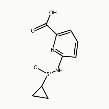 O=C(O)c1cccc(N[S+]([O-])C2CC2)n1